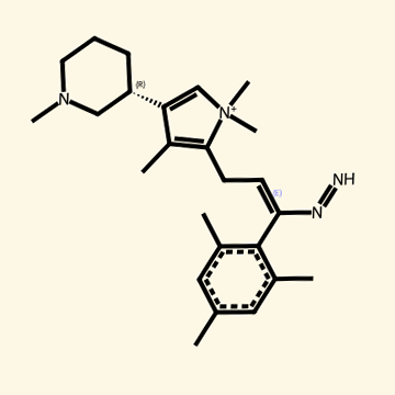 CC1=C(C/C=C(/N=N)c2c(C)cc(C)cc2C)[N+](C)(C)C=C1[C@H]1CCCN(C)C1